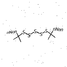 CCCCCCCCCC(C)(C)SSSSSC(C)(C)CCCCCCCCC